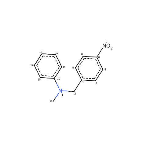 CN(Cc1ccc([N+](=O)[O-])cc1)c1ccccc1